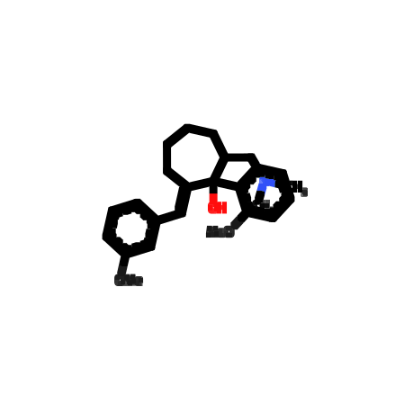 COc1cccc(C=C2CCCCC(CN(C)C)C2(O)c2ccccc2OC)c1